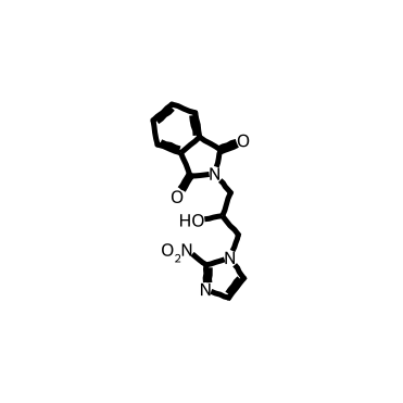 O=C1c2ccccc2C(=O)N1CC(O)Cn1ccnc1[N+](=O)[O-]